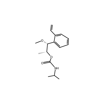 C=Cc1ccccc1[C@@H](OC)[C@@H](C)OC(=O)NC(C)C